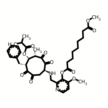 COC(=O)CCCCCCCC(=O)Oc1c(OC)ccnc1CN[C@H]1CC(=O)C(=O)[C@H](Cc2ccccc2)[C@H](OC(=O)C(C)C)[C@H](C)C(=O)C1=O